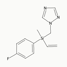 C=C[Si](C)(Cn1cncn1)c1ccc(F)cc1